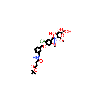 COc1cc(OCc2cccc(CNC(=O)CCC(=O)OC(C)(C)C)c2)c(Cl)cc1C(=O)N[C@H]1[C@@H](OC)O[C@H](CO)[C@@H](O)[C@@H]1O